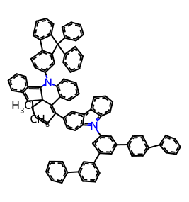 CC1C=CC(c2ccc3c(c2)c2ccccc2n3-c2cc(-c3ccc(-c4ccccc4)cc3)cc(-c3cccc(-c4ccccc4)c3)c2)=C2c3ccccc3N(c3ccc4c(c3)C(c3ccccc3)(c3ccccc3)c3ccccc3-4)C3=c4ccccc4=CC(C)C231